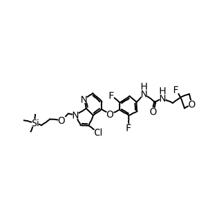 C[Si](C)(C)CCOCn1cc(Cl)c2c(Oc3c(F)cc(NC(=O)NCC4(F)COC4)cc3F)ccnc21